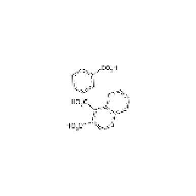 O=C(O)c1ccc2ccccc2c1C(=O)O.O=C(O)c1ccccc1